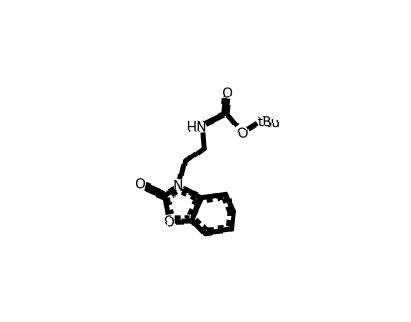 CC(C)(C)OC(=O)NCCn1c(=O)oc2ccccc21